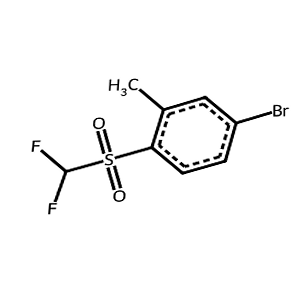 Cc1cc(Br)ccc1S(=O)(=O)C(F)F